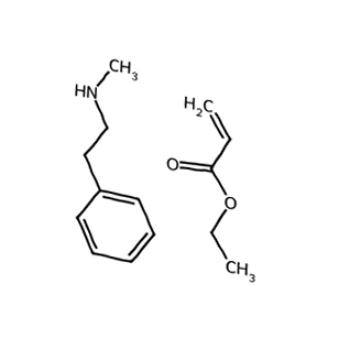 C=CC(=O)OCC.CNCCc1ccccc1